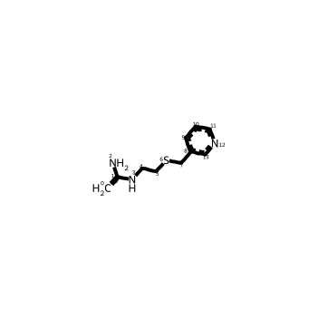 C=C(N)NCCSCc1cccnc1